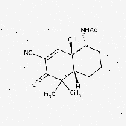 CC(=O)N[C@@H]1CCC[C@@H]2C(C)(C)C(=O)C(C#N)=C[C@@]21C